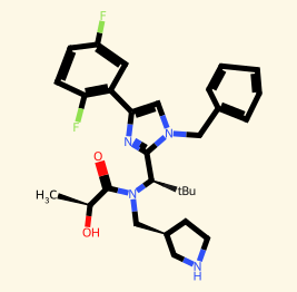 C[C@H](O)C(=O)N(C[C@H]1[CH]CNC1)[C@@H](c1nc(-c2cc(F)ccc2F)cn1Cc1ccccc1)C(C)(C)C